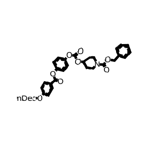 CCCCCCCCCCOc1ccc(C(=O)Oc2ccc(OC(=O)OC3CCN(C(=O)OCc4ccccc4)CC3)cc2)cc1